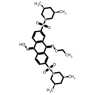 CCON=C1c2cc(S(=O)(=O)N3C[C@H](C)C[C@H](C)C3)ccc2C(=NO)c2ccc(S(=O)(=O)N3C[C@H](C)C[C@H](C)C3)cc21